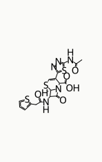 CC(=O)Nc1nnc(C2=CS[C@@H]3C(NC(=O)Cc4cccs4)C(=O)N3C2C(=O)O)s1